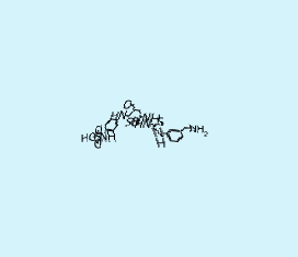 NCc1cccc(NC(=S)NNC(=O)CC(C=O)C(S)Nc2ccc(NS(=O)(=O)O)cc2)c1